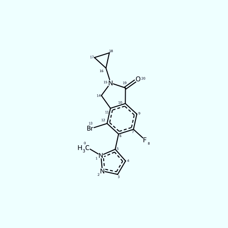 Cn1nccc1-c1c(F)cc2c(c1Br)CN(C1CC1)C2=O